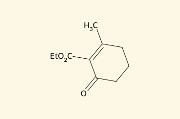 CCOC(=O)C1=C(C)CCCC1=O